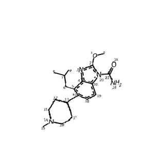 COc1nc2c(CC(C)C)c(C3CCN(C)CC3)ccc2n1C(N)=O